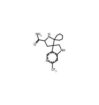 NC(=O)C1CC2(CNc3cc(C(F)(F)F)ncc32)C2(CCCCC2)N1